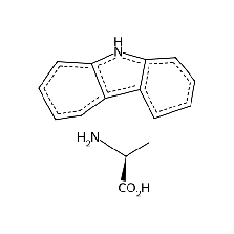 C[C@H](N)C(=O)O.c1ccc2c(c1)[nH]c1ccccc12